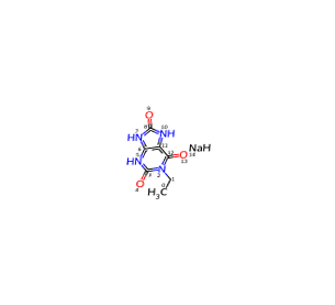 CCn1c(=O)[nH]c2[nH]c(=O)[nH]c2c1=O.[NaH]